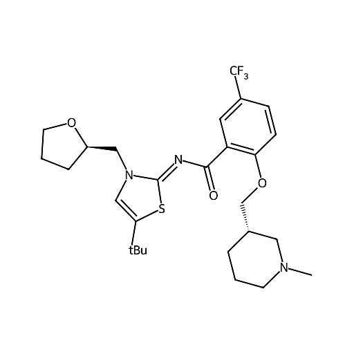 CN1CCC[C@H](COc2ccc(C(F)(F)F)cc2C(=O)N=c2sc(C(C)(C)C)cn2C[C@H]2CCCO2)C1